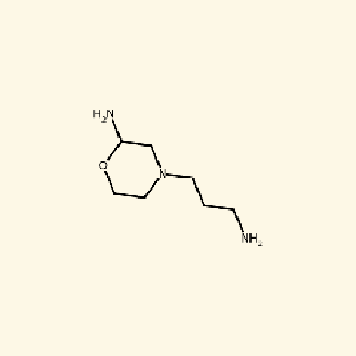 NCCCN1CCOC(N)C1